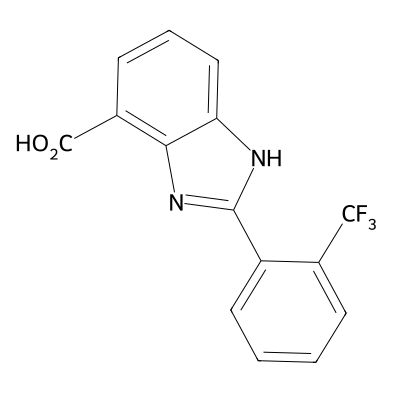 O=C(O)c1cccc2[nH]c(-c3ccccc3C(F)(F)F)nc12